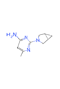 Cc1cc(N)nc(N2CC3CC3C2)n1